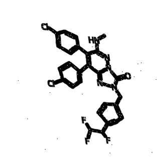 CNc1nn2c(=O)n(Cc3ccc(C(F)C(F)F)cc3)nc2c(-c2ccc(Cl)cc2)c1-c1ccc(Cl)cc1